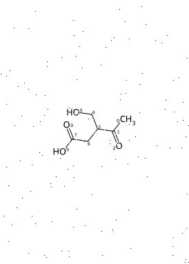 CC(=O)C(CO)CC(=O)O